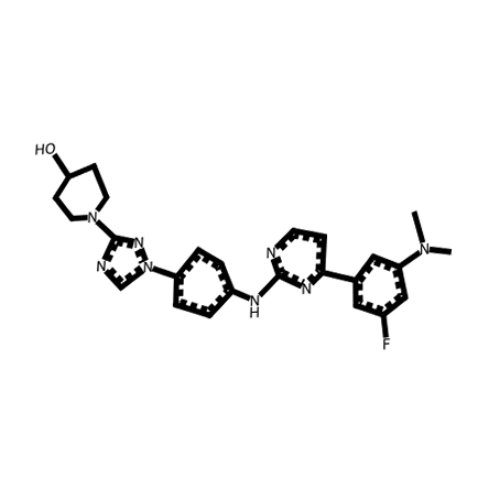 CN(C)c1cc(F)cc(-c2ccnc(Nc3ccc(-n4cnc(N5CCC(O)CC5)n4)cc3)n2)c1